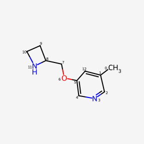 Cc1cncc(OCC2CCN2)c1